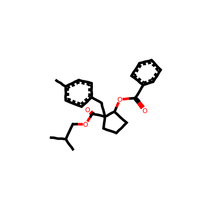 Cc1ccc(CC2(C(=O)OCC(C)C)CCCC2OC(=O)c2ccccc2)cc1